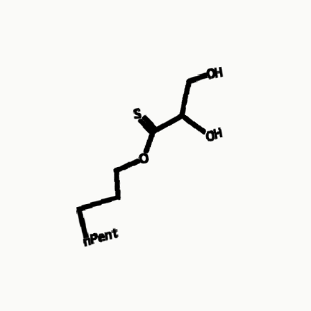 CCCCCCCCOC(=S)C(O)CO